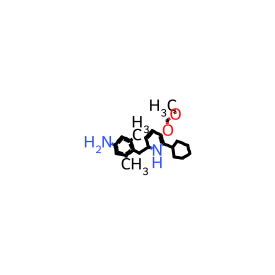 COCOC1=C(C2CCCCC2)NC(Cc2c(C)cc(N)cc2C)C=C1